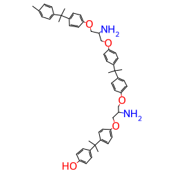 Cc1ccc(C(C)(C)c2ccc(OCC(N)COc3ccc(C(C)(C)c4ccc(OCC(N)COc5ccc(C(C)(C)c6ccc(O)cc6)cc5)cc4)cc3)cc2)cc1